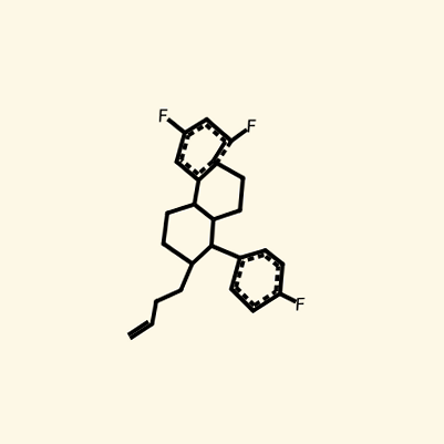 C=CCCC1CCC2c3cc(F)cc(F)c3CCC2C1c1ccc(F)cc1